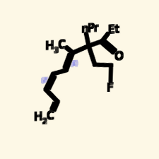 C=C/C=C\C=C(/C)C(CCC)(CCF)C(=O)CC